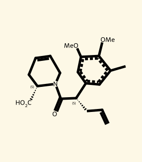 C=CC[C@H](C(=O)N1CC=CC[C@H]1C(=O)O)c1cc(C)c(OC)c(OC)c1